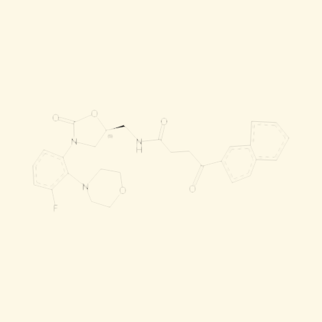 O=C(CCC(=O)c1ccc2ccccc2c1)NC[C@H]1CN(c2cccc(F)c2N2CCOCC2)C(=O)O1